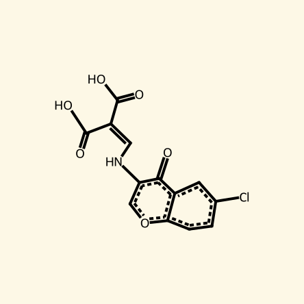 O=C(O)C(=CNc1coc2ccc(Cl)cc2c1=O)C(=O)O